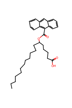 CCCCCCCCCCCCC(CCCCC(=O)O)OC(=O)c1c2ccccc2cc2ccccc12